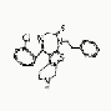 S=C1CN=C(c2ccccc2Cl)c2c(sc3c2CCNC3)N1CCc1ccccc1